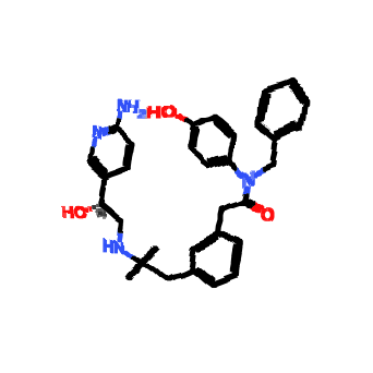 CC(C)(Cc1cccc(CC(=O)N(Cc2ccccc2)c2ccc(O)cc2)c1)NC[C@H](O)c1ccc(N)nc1